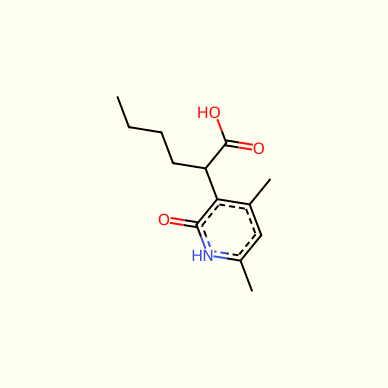 CCCCC(C(=O)O)c1c(C)cc(C)[nH]c1=O